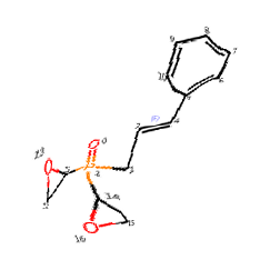 O=P(C/C=C/c1ccccc1)(C1CO1)C1CO1